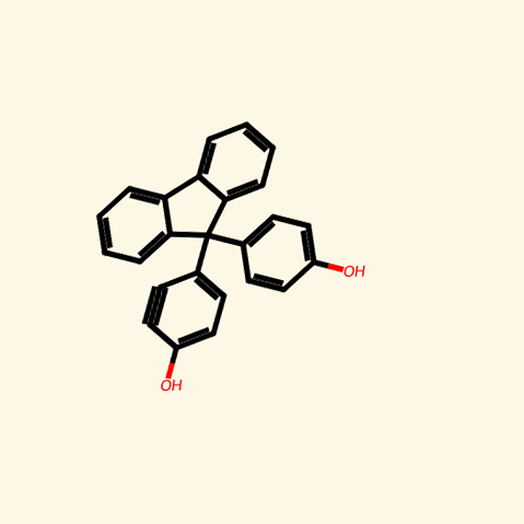 Oc1c#cc(C2(c3ccc(O)cc3)c3ccccc3-c3ccccc32)cc1